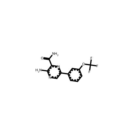 NC(=O)c1nc(-c2cccc(OC(F)(F)F)c2)cnc1N